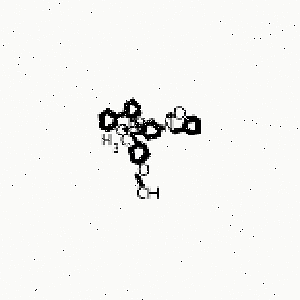 C#CCOc1ccc(C(C)(c2ccc(N3COc4ccccc4C3)cc2)P2(=O)Oc3ccccc3-c3ccccc32)cc1